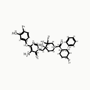 Nc1c(Oc2ccc(F)c(O)c2)ncn(C[C@@]2(O)CCN(C(=O)[C@@H]3CCC(F)C[C@H]3c3ccccc3)CC2(F)F)c1=O